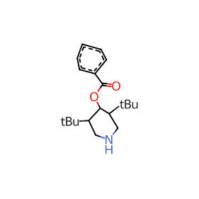 CC(C)(C)C1CNCC(C(C)(C)C)C1OC(=O)c1ccccc1